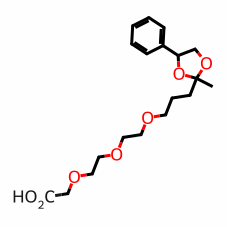 CC1(CCCOCCOCCOCC(=O)O)OCC(c2ccccc2)O1